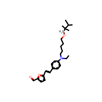 CCN(CCCCCO[SiH2]C(C)(C)C(C)C)c1ccc(C=Cc2ccc(C=O)o2)cc1